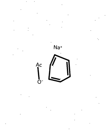 CC(=O)[O-].[Na+].c1ccccc1